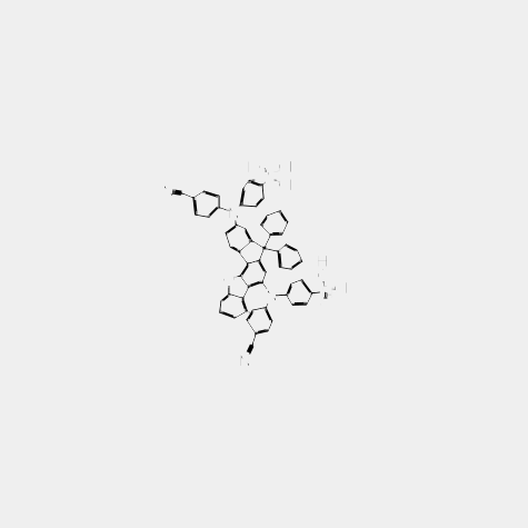 C[Si](C)(C)c1ccc(N(c2ccc(C#N)cc2)c2cc3c(c4oc5ccccc5c24)-c2ccc(N(c4ccc(C#N)cc4)c4ccc(S(C)(C)C)cc4)cc2C3(c2ccccc2)c2ccccc2)cc1